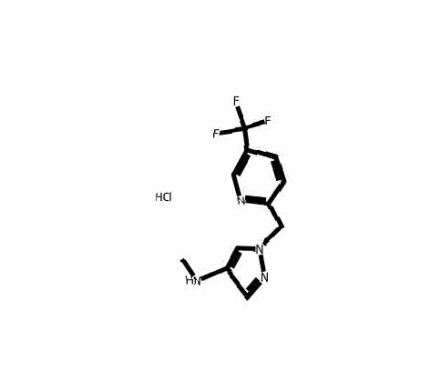 CNc1cnn(Cc2ccc(C(F)(F)F)cn2)c1.Cl